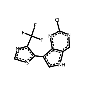 FC(F)(F)c1ncsc1-c1c[nH]c2cnc(Cl)nc12